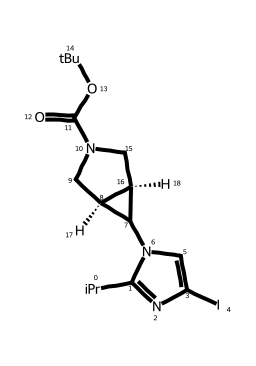 CC(C)c1nc(I)cn1C1[C@H]2CN(C(=O)OC(C)(C)C)C[C@@H]12